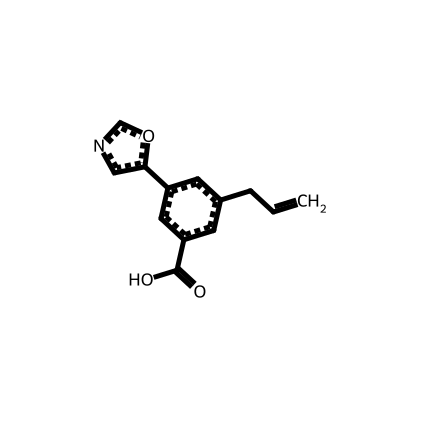 C=CCc1cc(C(=O)O)cc(-c2cnco2)c1